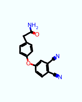 N#Cc1ccc(Oc2ccc(CC(N)=O)cc2)cc1C#N